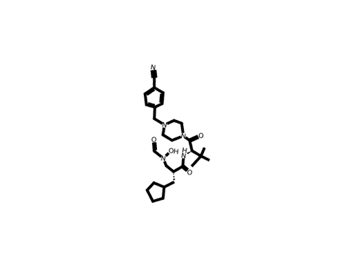 CC(C)(C)[C@H](NC(=O)[C@H](CC1CCCC1)CN(O)C=O)C(=O)N1CCN(Cc2ccc(C#N)cc2)CC1